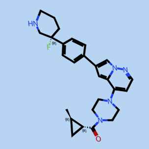 C[C@@H]1C[C@H]1C(=O)N1CCN(c2ccnn3cc(-c4ccc([C@]5(F)CCCNC5)cc4)cc23)CC1